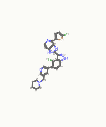 Fc1ccc(-c2nccc3[nH]c(-c4n[nH]c5ccc(-c6cncc(CN7CCCCC7)c6)c(F)c45)nc23)s1